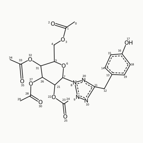 CC(=O)OCC1OC(n2nnc(Cc3ccc(O)cc3)n2)C(OC(C)=O)C(OC(C)=O)C1OC(C)=O